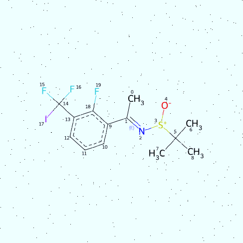 C/C(=N\[S+]([O-])C(C)(C)C)c1cccc(C(F)(F)I)c1F